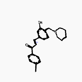 Cc1ccc(C(=O)/C=C/c2ccc(CN3CCCCC3)c(O)c2)cc1